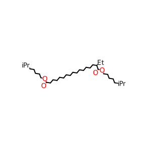 CCC(CCCCCCCCCCCCCCC(=O)OCCCCCC(C)C)C(=O)OCCCCCC(C)C